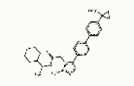 CCOC(=O)C1(c2ccc(-c3ccc(-c4cnn(C)c4NC(=O)OC(C)C4CCOCC4)cc3)cc2)CC1